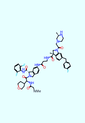 CNCC(=O)NC(C(=O)N1Cc2ccc(NC(=O)CCNC(=O)[C@]3(C)CN(C(=O)CN4CCN[C@H](C)C4)c4cc(Cc5ccc(F)cc5)ccc43)cc2[C@H]1C(=O)Nc1c(F)cccc1F)C1CCOCC1